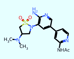 CC(=O)Nc1cc(-c2cnc(N)c(N3CC(N(C)C)CS3(=O)=O)c2)ccn1